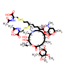 CC[C@H]1OC(=O)[C@H](C)[C@@H](O[C@H]2C[C@@](C)(OC)[C@@H](O)[C@H](C)O2)[C@H](C)[C@@H](O[C@@H]2O[C@H](C)C[C@H](N(C)C)[C@H]2OC(=O)CCCC[C@H](CCSSC[C@H](NC(C)=O)C(=O)O)SSC[C@H](NC(C)=O)C(=O)O)[C@](C)(O)C[C@@H](C)CN(C)[C@H](C)[C@@H](O)[C@]1(C)O